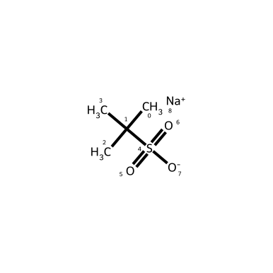 CC(C)(C)S(=O)(=O)[O-].[Na+]